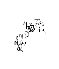 CCC(C)[C@@H](COC)N(C)S(=O)(=O)c1ccc(Cc2nccc3nc(C)[nH]c23)cc1